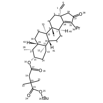 C=C[C@@]12CC[C@]3(C)[C@H](CC[C@@H]4[C@@]5(C)CC[C@H](OC(=O)CC(C)(C)C(=O)OC(C)(C)C)[C@H](C)[C@@H]5CC[C@]43C)C1=C(C(C)C)C(=O)C2